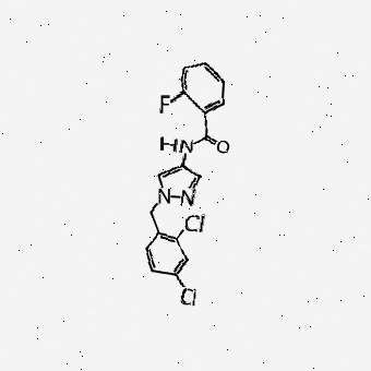 O=C(Nc1cnn(Cc2ccc(Cl)cc2Cl)c1)c1ccccc1F